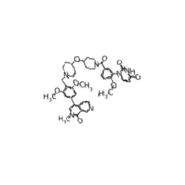 COc1ccc(C(=O)N2CCC(OC3CCN(Cc4c(OC)cc(-c5cn(C)c(=O)c6cnccc56)cc4OC)CC3)CC2)cc1-n1ccc(=O)[nH]c1=O